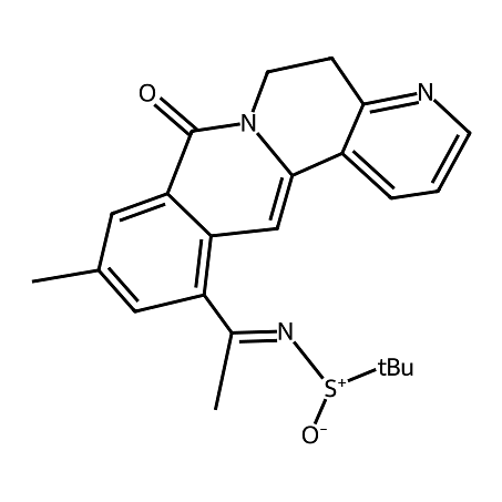 CC(=N[S+]([O-])C(C)(C)C)c1cc(C)cc2c(=O)n3c(cc12)-c1cccnc1CC3